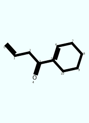 C=CCC(=O)C1=CCCCC1